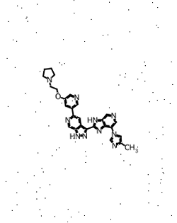 Cc1cn(-c2cncc3[nH]c(-c4n[nH]c5cnc(-c6cncc(OCCN7CCCC7)c6)cc45)nc23)cn1